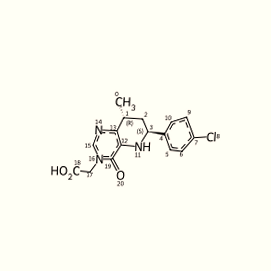 C[C@@H]1C[C@@H](c2ccc(Cl)cc2)Nc2c1ncn(CC(=O)O)c2=O